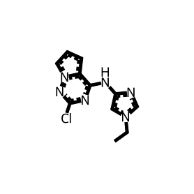 CCn1cnc(Nc2nc(Cl)nn3cccc23)c1